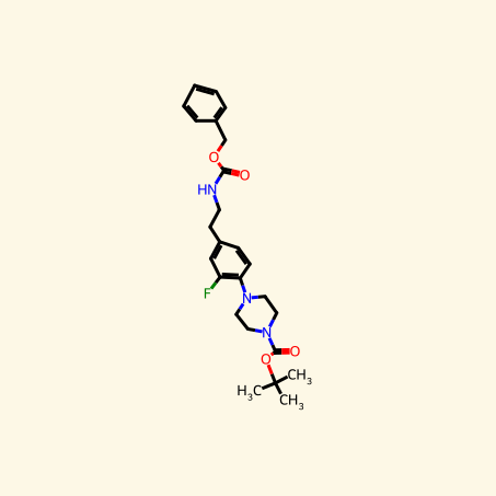 CC(C)(C)OC(=O)N1CCN(c2ccc(CCNC(=O)OCc3ccccc3)cc2F)CC1